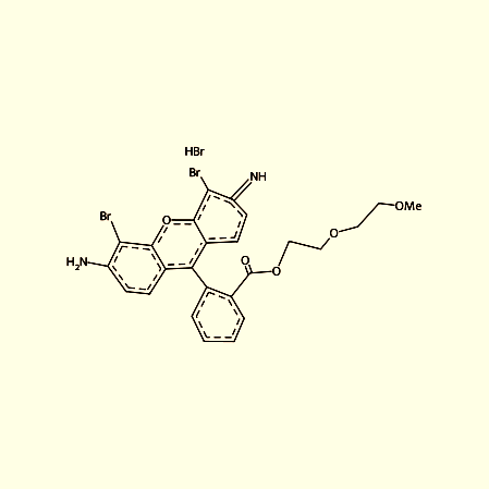 Br.COCCOCCOC(=O)c1ccccc1-c1c2ccc(=N)c(Br)c-2oc2c(Br)c(N)ccc12